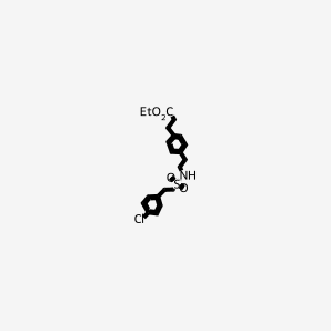 CCOC(=O)CCc1ccc(CCNS(=O)(=O)CCc2ccc(Cl)cc2)cc1